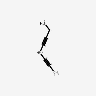 BCC#CPC#CC